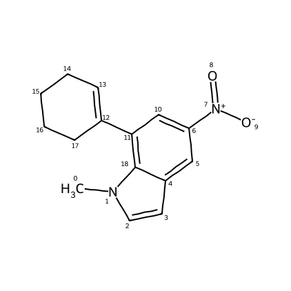 Cn1ccc2cc([N+](=O)[O-])cc(C3=CCCCC3)c21